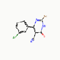 N#Cc1c(-c2cccc(Br)c2)nc(S)[nH]c1=O